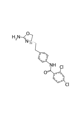 NC1=N[C@@H](CCc2ccc(NC(=O)c3ccc(Cl)cc3Cl)cc2)CO1